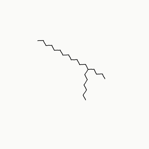 CCCCCCCCCCCCC(CCCC)CCCCCC